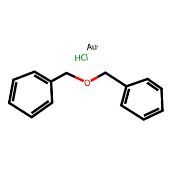 Cl.[Au].c1ccc(COCc2ccccc2)cc1